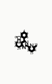 COc1ccccc1-c1nc(-c2cccc(C)n2)nc2c1OCCC2